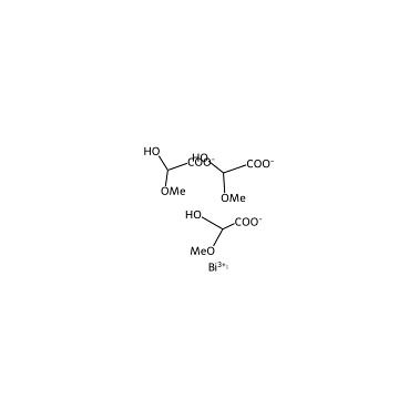 COC(O)C(=O)[O-].COC(O)C(=O)[O-].COC(O)C(=O)[O-].[Bi+3]